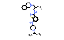 C=C(C)N1CCC(Nc2cccc3c(NCC(C)CN4CCc5ccccc5C4)nsc23)CC1